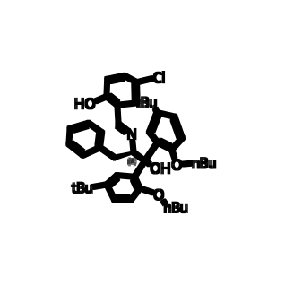 CCCCOc1ccc(C(C)(C)C)cc1C(O)(c1cc(C(C)(C)C)ccc1OCCCC)[C@@H](Cc1ccccc1)N=Cc1cc(Cl)ccc1O